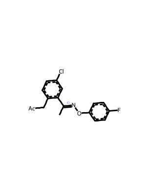 CC(=O)Cc1ccc(Cl)cc1/C(C)=N/Oc1ccc(F)cc1